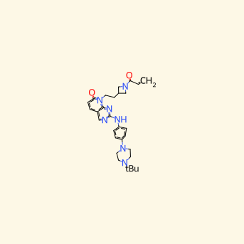 C=CC(=O)N1CC(CCn2c(=O)ccc3cnc(Nc4ccc(N5CCN(C(C)(C)C)CC5)cc4)nc32)C1